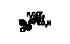 CN1CCN(c2c(Cl)cccc2CN2CC3C(C(=O)O)NC(C(C(F)(F)F)C(F)(F)F)C3C2)CC1